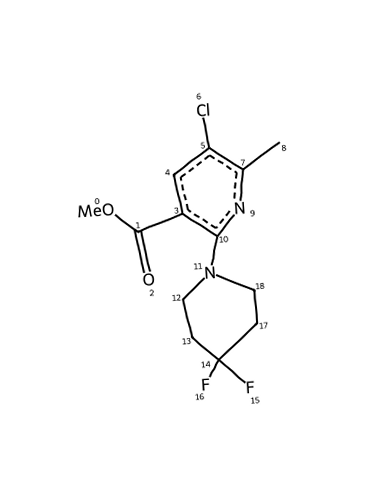 COC(=O)c1cc(Cl)c(C)nc1N1CCC(F)(F)CC1